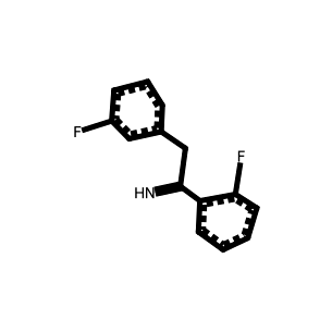 N=C(Cc1cccc(F)c1)c1ccccc1F